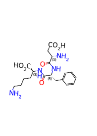 NCCCC[C@H](NC(=O)[C@@H](Cc1ccccc1)NC(=O)[C@@H](N)CC(=O)O)C(=O)O